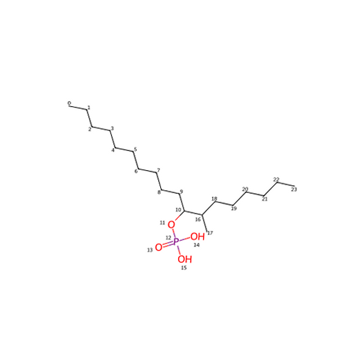 CCCCCCCCCCC(OP(=O)(O)O)C(C)CCCCCC